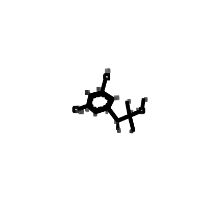 COC(C)(C)[C@H](C)c1cc(Cl)cc(Cl)c1